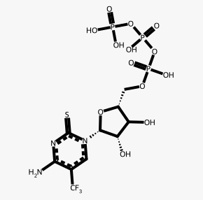 Nc1nc(=S)n([C@@H]2O[C@H](COP(=O)(O)OP(=O)(O)OP(=O)(O)O)C(O)[C@@H]2O)cc1C(F)(F)F